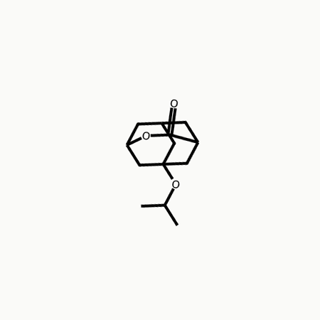 CC(C)OC12CC3CC(C1)OC(=O)C(C3)C2